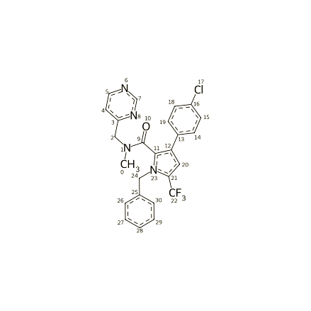 CN(Cc1ccncn1)C(=O)c1c(-c2ccc(Cl)cc2)cc(C(F)(F)F)n1Cc1ccccc1